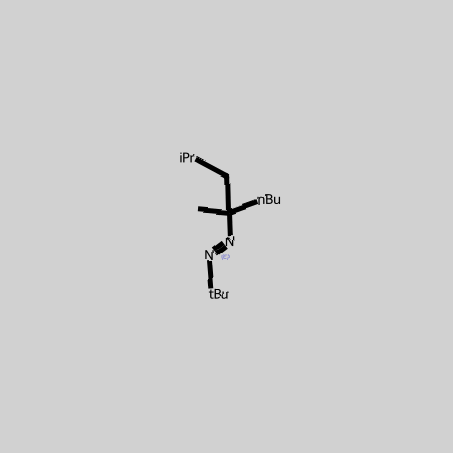 CCCCC(C)(CC(C)C)/N=N/C(C)(C)C